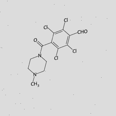 CN1CCN(C(=O)c2c(Cl)c(Cl)c(C=O)c(Cl)c2Cl)CC1